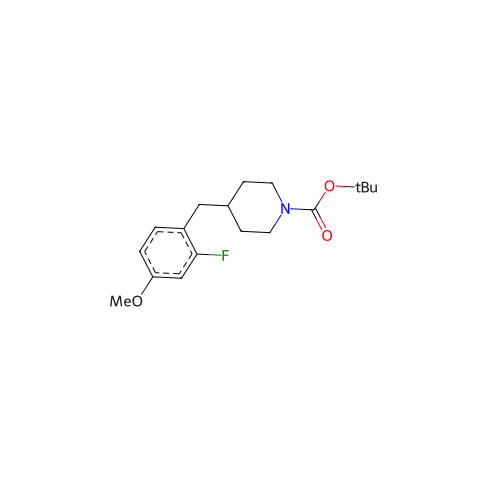 COc1ccc(CC2CCN(C(=O)OC(C)(C)C)CC2)c(F)c1